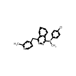 Cc1cc(Cc2nnc(N(C)c3ccc(Cl)cc3)c3ccccc23)ccn1